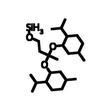 CC1CCC(C(C)C)C(OC(C)(CCO[SiH3])OC2CC(C)CCC2C(C)C)C1